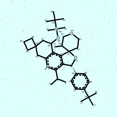 CC(C)c1nc2c(c3c1[C@@H](c1ccc(C(C)(C)C)cc1)OC31CCOCC1I)C(O[Si](C)(C)C(C)(C)C)CC1(CCC1)C2